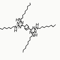 CCCCCCCCNc1nc(NCCCCCCCC)nc(C2CC3CC2CC3c2nc(NCCCCCCCC)nc(NCCCCCCCC)n2)n1